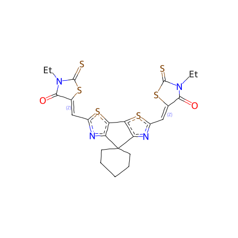 CCN1C(=O)/C(=C/c2nc3c(s2)-c2sc(/C=C4\SC(=S)N(CC)C4=O)nc2C32CCCCC2)SC1=S